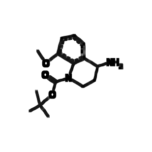 COc1cccc2c1N(C(=O)OC(C)(C)C)CCC2N